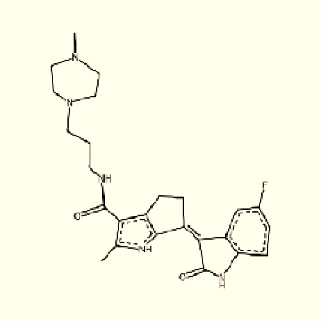 Cc1[nH]c2c(c1C(=O)NCCCN1CCN(C)CC1)CC/C2=C1/C(=O)Nc2ccc(F)cc21